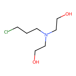 OCCN(CCO)CCCCl